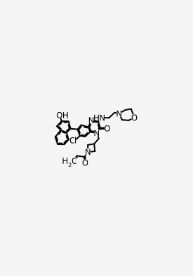 C=CC(=O)N1CC(Cn2c(=O)c(NCCN3CCOCC3)nc3cc(-c4cc(O)cc5ccccc45)c(Cl)cc32)C1